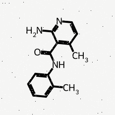 Cc1ccccc1NC(=O)c1c(C)ccnc1N